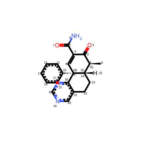 C[C@@H]1C(=O)C(C(N)=O)=C[C@]2(c3ccccc3)c3ncncc3CC[C@@H]12